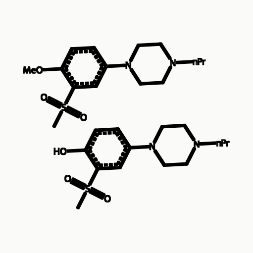 CCCN1CCN(c2ccc(O)c(S(C)(=O)=O)c2)CC1.CCCN1CCN(c2ccc(OC)c(S(C)(=O)=O)c2)CC1